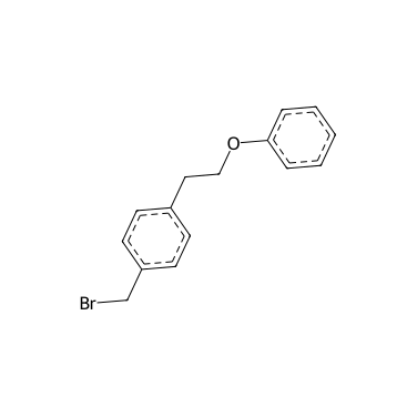 BrCc1ccc(CCOc2ccccc2)cc1